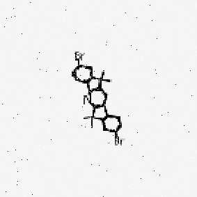 CC1(C)c2cc(Br)ccc2-c2nc3c(cc21)-c1ccc(Br)cc1C3(C)C